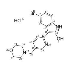 Cl.Oc1[nH]c2ccc(Br)cc2c1-c1ccc(CN2CCOCC2)cn1